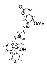 COc1cc2ccc(=O)oc2cc1OCCCN1CCC(C(O)(c2ccccc2)c2ccccc2)CC1